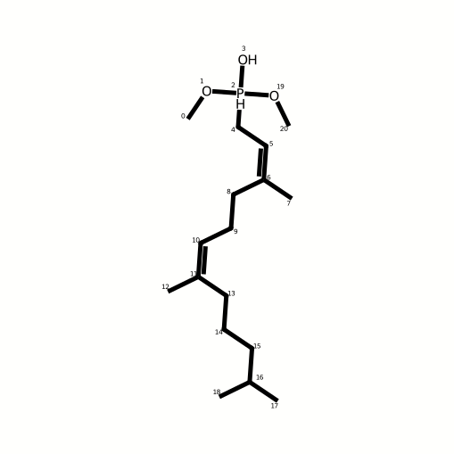 CO[PH](O)(CC=C(C)CCC=C(C)CCCC(C)C)OC